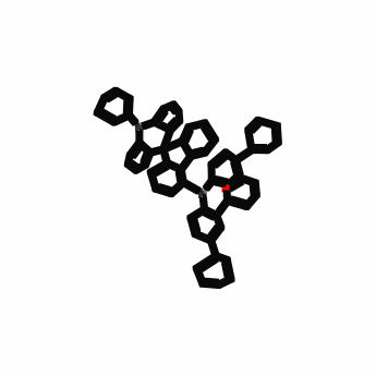 c1ccc(-c2ccc(N(c3ccc(-c4ccccc4)cc3-c3ccccc3)c3cccc4c3-c3ccccc3C43c4ccccc4N(c4ccccc4)c4ccccc43)cc2)cc1